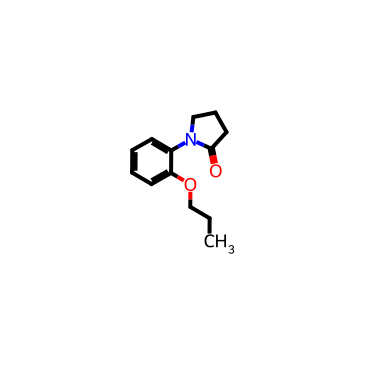 CCCOc1ccccc1N1CCCC1=O